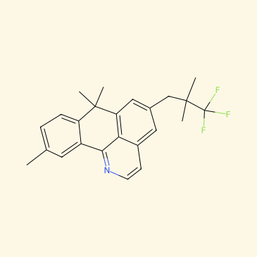 Cc1ccc2c(c1)-c1nccc3cc(CC(C)(C)C(F)(F)F)cc(c13)C2(C)C